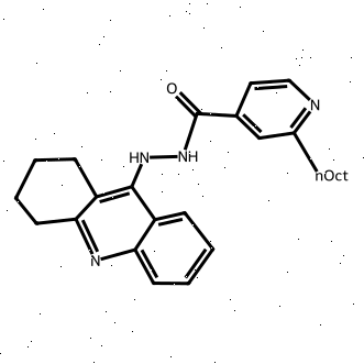 CCCCCCCCc1cc(C(=O)NNc2c3c(nc4ccccc24)CCCC3)ccn1